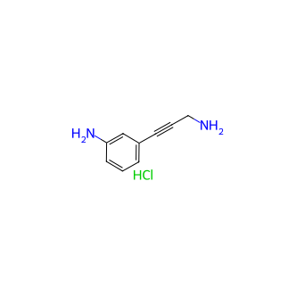 Cl.NCC#Cc1cccc(N)c1